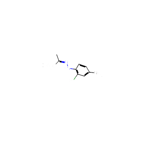 CCOC(=O)/C(C)=N\Nc1ccc([N+](=O)[O-])cc1Br